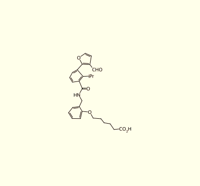 CC(C)c1c(C(=O)NCc2ccccc2OCCCCCC(=O)O)cccc1-c1occc1C=O